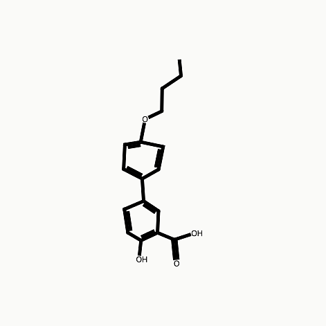 CCCCOc1ccc(-c2ccc(O)c(C(=O)O)c2)cc1